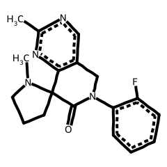 Cc1ncc2c(n1)C1(CCCN1C)C(=O)N(c1ccccc1F)C2